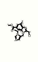 CCn1cncc1Cn1c(CCl)nc2c(F)cc(C(=O)OC)cc21